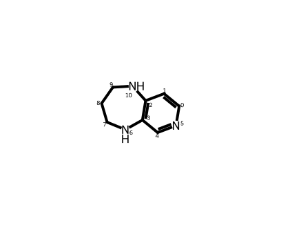 c1cc2c(cn1)NCCCN2